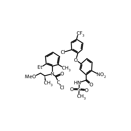 CCc1cccc(C)c1N(C(=O)CCl)[C@@H](C)COC.CS(=O)(=O)NC(=O)c1cc(Oc2ccc(C(F)(F)F)cc2Cl)ccc1[N+](=O)[O-]